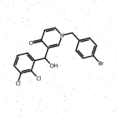 O=c1ccn(Cc2ccc(Br)cc2)cc1C(O)c1cccc(Cl)c1Cl